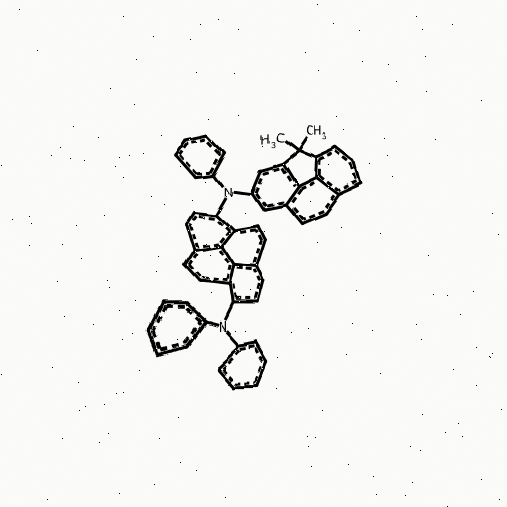 CC1(C)c2cccc3ccc4cc(N(c5ccccc5)c5ccc6ccc7c(N(c8ccccc8)c8ccccc8)ccc8ccc5c6c87)cc1c4c23